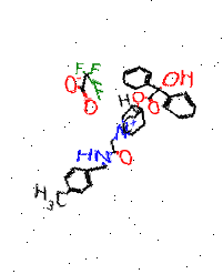 Cc1ccc(CNC(=O)C[N+]23CCC(CC2)[C@@H](OC(=O)C(O)(c2ccccc2)c2ccccc2)C3)cc1.O=C([O-])C(F)(F)F